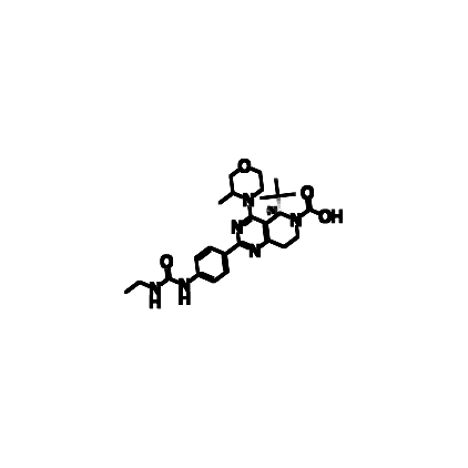 CCNC(=O)Nc1ccc(-c2nc3c(c(N4CCOCC4C)n2)[C@H](C(C)(C)C)N(C(=O)O)CC3)cc1